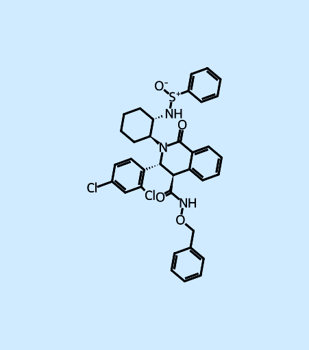 O=C(NOCc1ccccc1)[C@@H]1c2ccccc2C(=O)N([C@H]2CCCC[C@@H]2N[S+]([O-])c2ccccc2)[C@H]1c1ccc(Cl)cc1Cl